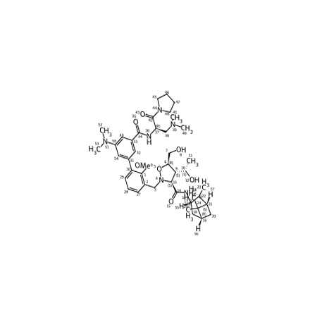 COc1c(CN2O[C@@H](CO)[C@H]([C@H](C)O)[C@H]2C(=O)N[C@H]2C[C@H]3C[C@@H]([C@@H]2C)C3(C)C)cccc1-c1cc(C(=O)N[C@H](CN(C)C)C(=O)N2CCCC2)cc(N(C)C)c1